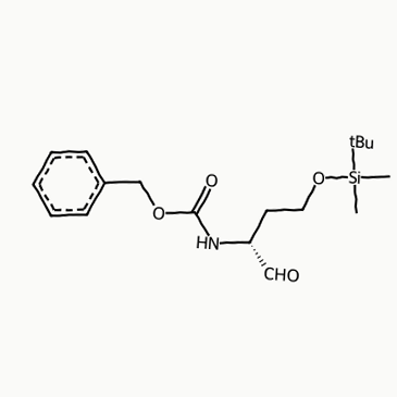 CC(C)(C)[Si](C)(C)OCC[C@H](C=O)NC(=O)OCc1ccccc1